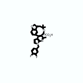 Cc1nc2c(ccn2Cc2ccc(F)c(F)c2)c2c1[C@@H](C(=O)O)OC(C)(C)CC1(C)COc3ccc-2cc31